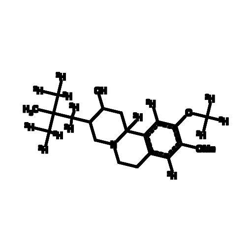 [2H]c1c2c(c([2H])c(OC([2H])([2H])[2H])c1OC)C1([2H])CC(O)C(C([2H])([2H])C(C)(C([2H])([2H])[2H])C([2H])([2H])[2H])CN1CC2